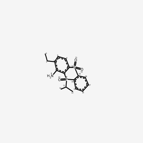 CCc1ccc2c(c1N)P(=O)(C(C)C)c1ccccc1S2(=O)=O